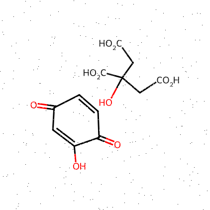 O=C(O)CC(O)(CC(=O)O)C(=O)O.O=C1C=CC(=O)C(O)=C1